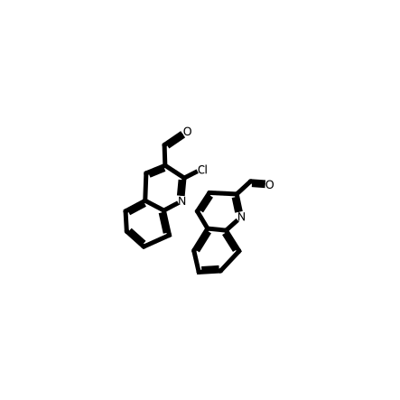 O=Cc1cc2ccccc2nc1Cl.O=Cc1ccc2ccccc2n1